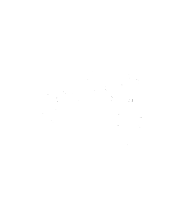 CN([C@H]1CCC(n2cc(C(N)=O)c(Nc3ccc(Cl)cc3)n2)C(=N)C1)C(C)(C)C1CC1